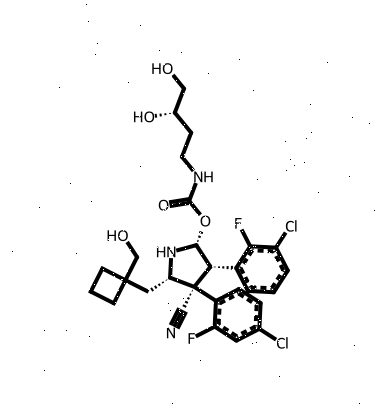 N#C[C@]1(c2ccc(Cl)cc2F)[C@H](CC2(CO)CCC2)N[C@H](OC(=O)NCC[C@H](O)CO)[C@@H]1c1cccc(Cl)c1F